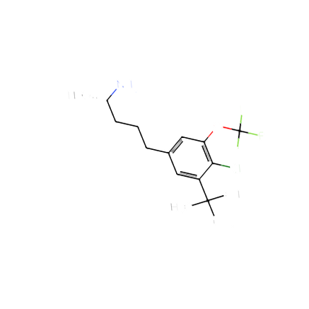 C[C@H](N)CCCc1cc(OC(F)(F)F)c(Cl)c(C(C)(C)C)c1